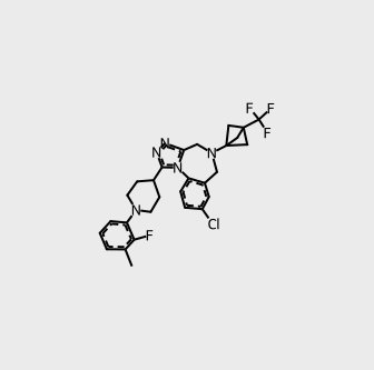 Cc1cccc(N2CCC(c3nnc4n3-c3ccc(Cl)cc3CN(C35CC(C(F)(F)F)(C3)C5)C4)CC2)c1F